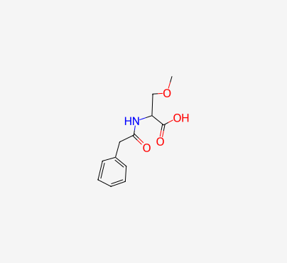 COCC(NC(=O)Cc1ccccc1)C(=O)O